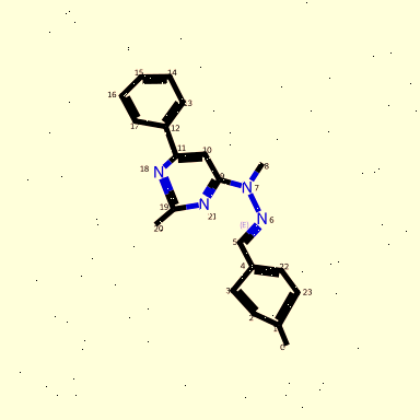 Cc1ccc(/C=N/N(C)c2cc(-c3ccccc3)nc(C)n2)cc1